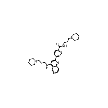 O=C(NCCCN1CCCCC1)c1ccc(-c2cc(NCCCN3CCCCC3)c3cnccc3n2)cn1